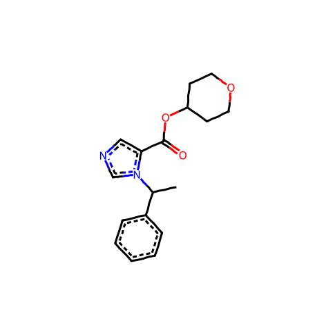 CC(c1ccccc1)n1cncc1C(=O)OC1CCOCC1